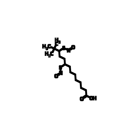 CC(C)(C)C(CCC(CCCCCCCC(=O)O)SN=O)SN=O